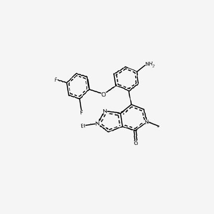 CCn1cc2c(=O)n(C)cc(-c3cc(N)ccc3Oc3ccc(F)cc3F)c2n1